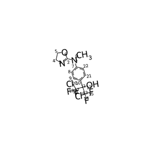 CN(C1=NCCO1)c1ccc(C(O)(C(F)(F)Cl)C(F)(F)Cl)cc1